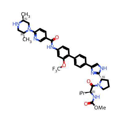 COC(=O)N[C@H](C(=O)N1CCC[C@H]1c1nc(-c2ccc(-c3ccc(NC(=O)c4ccc(N5C[C@H](C)NC[C@H]5C)nc4)cc3OC(F)(F)F)cc2)c[nH]1)C(C)C